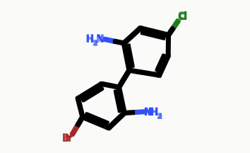 Nc1cc(Cl)ccc1-c1ccc(Br)cc1N